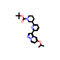 CC(C)Oc1ccn2ncc(-c3cccc(C4CCCN(C(=O)OC(C)(C)C)C4)n3)c2c1